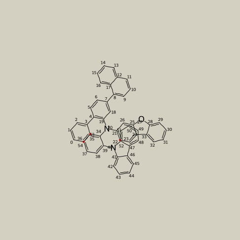 c1ccc(-c2ccc(-c3cccc4ccccc34)cc2N(c2ccc3c(c2)oc2ccccc23)c2ccccc2-n2c3ccccc3c3ccccc32)cc1